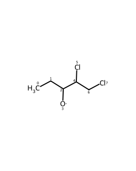 CCC([O])C(Cl)CCl